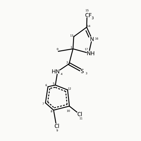 CC1(C(=S)Nc2ccc(Cl)c(Cl)c2)CC(C(F)(F)F)=NN1